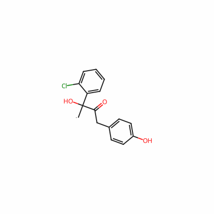 [CH2]C(O)(C(=O)Cc1ccc(O)cc1)c1ccccc1Cl